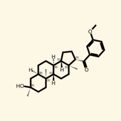 COc1cccc(C(=O)[C@H]2CC[C@H]3[C@@H]4CC[C@@H]5C[C@](C)(O)CC[C@]5(C)[C@H]4CC[C@]23C)c1